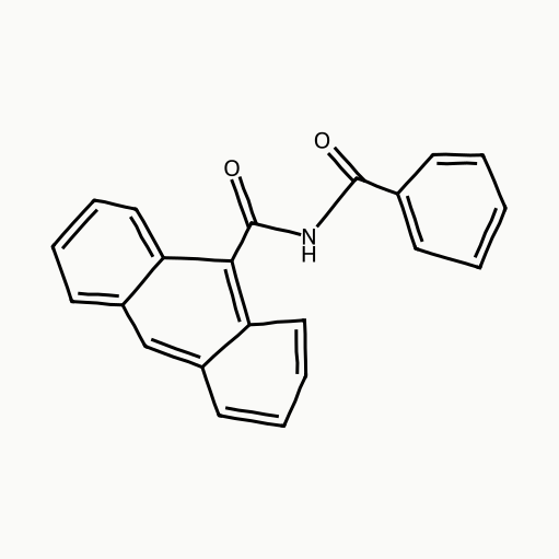 O=C(NC(=O)c1c2ccccc2cc2ccccc12)c1ccccc1